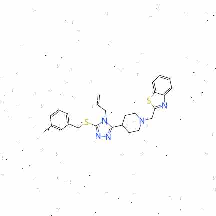 C=CCn1c(SCc2cccc(C)c2)nnc1C1CCN(Cc2nc3ccccc3s2)CC1